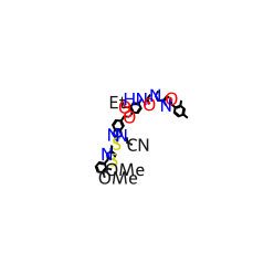 CCOc1cc(NC(=O)CN(C)Cc2coc(-c3ccc(C)cc3C)n2)ccc1OCc1ccc2nc(SCc3csc(-c4cccc(OC)c4OC)n3)n(CCC#N)c2c1